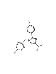 Fc1ccc(-c2nc(C(F)F)cn2Cc2ncc(Cl)cn2)cc1